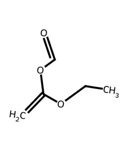 C=C(OC=O)OCC